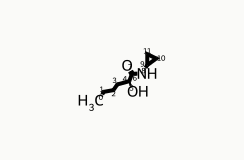 CCCC[C@H](O)C(=O)NC1CC1